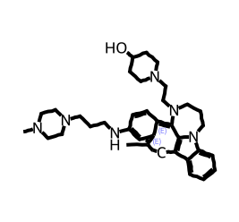 C/C1=c2/cc(NCCCN3CCN(C)CC3)cc/c2=C2/c3c(c4ccccc4n3CCCN2CCN2CCC(O)CC2)CC1